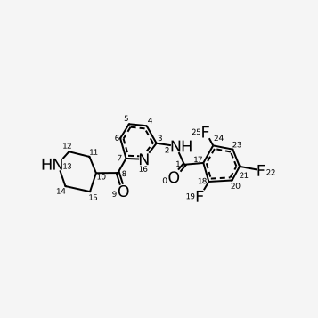 O=C(Nc1cccc(C(=O)C2CCNCC2)n1)c1c(F)cc(F)cc1F